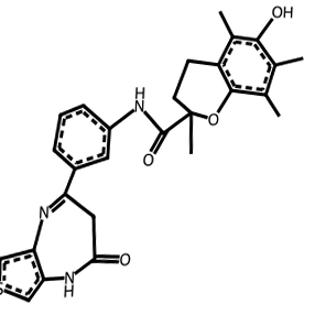 Cc1c(C)c2c(c(C)c1O)CCC(C)(C(=O)Nc1cccc(C3=Nc4cscc4NC(=O)C3)c1)O2